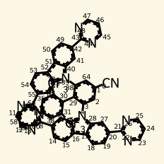 N#Cc1cc(-n2c3cc(-c4ncccn4)ccc3c3ccc(-c4ncccn4)cc32)c(-c2c(C(F)(F)F)cccc2C(F)(F)F)c(-n2c3cc(-c4ncccn4)ccc3c3ccc(-c4ncccn4)cc32)c1